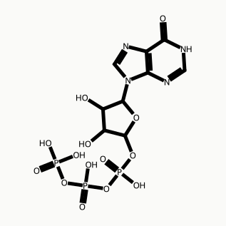 O=c1[nH]cnc2c1ncn2C1OC(OP(=O)(O)OP(=O)(O)OP(=O)(O)O)C(O)C1O